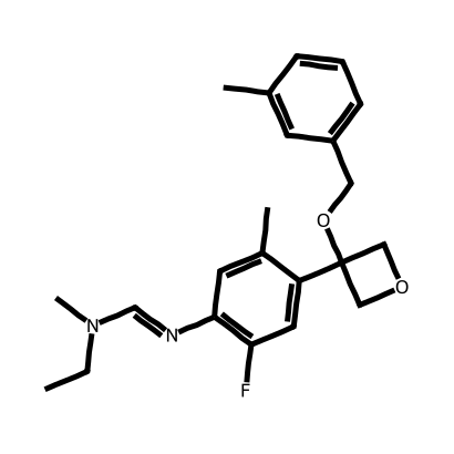 CCN(C)C=Nc1cc(C)c(C2(OCc3cccc(C)c3)COC2)cc1F